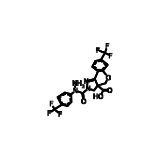 NN(C(=O)N1CC2(C(=O)O)COc3cc(C(F)(F)F)ccc3C2=N1)c1ccc(C(F)(F)F)cc1